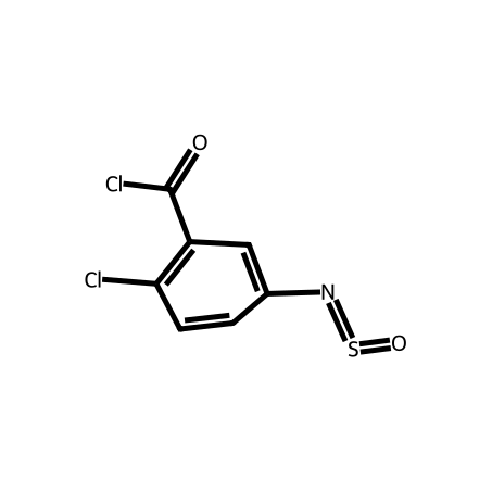 O=S=Nc1ccc(Cl)c(C(=O)Cl)c1